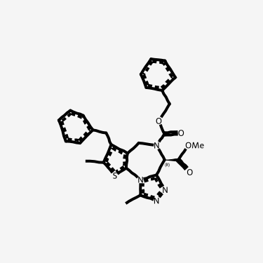 COC(=O)[C@H]1c2nnc(C)n2-c2sc(C)c(Cc3ccccc3)c2CN1C(=O)OCc1ccccc1